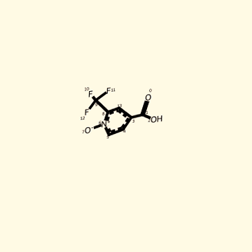 O=C(O)c1cc[n+]([O-])c(C(F)(F)F)c1